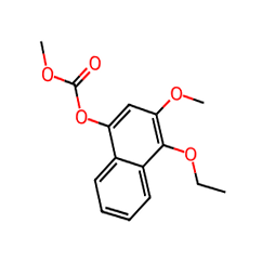 CCOc1c(OC)cc(OC(=O)OC)c2ccccc12